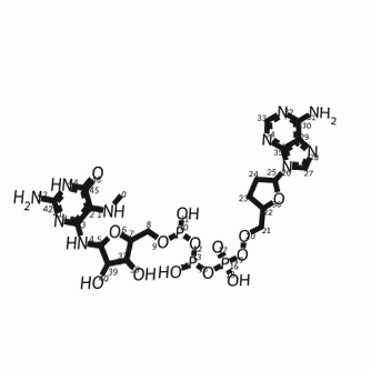 CNc1c(NC2OC(COP(O)OP(O)OP(=O)(O)OOCC3CCC(n4cnc5c(N)ncnc54)O3)C(O)C2O)nc(N)[nH]c1=O